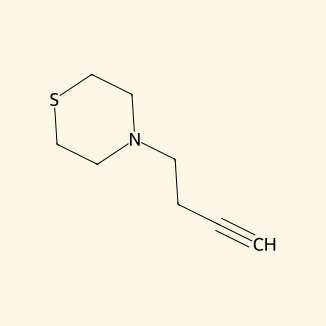 C#CCCN1CCSCC1